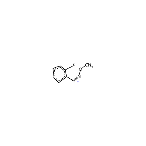 CO/N=[C]\c1ccccc1F